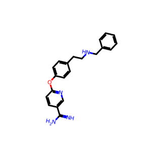 N=C(N)c1ccc(Oc2ccc(CCNCc3ccccc3)cc2)nc1